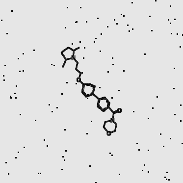 CC1CCC(C)N1CCCOc1ccc(-c2ccc(C(=O)N3CCOCC3)cc2)cc1